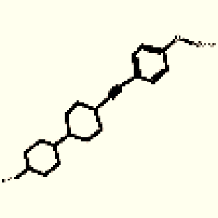 CCCCCOc1ccc(C#CC2CCC(C3CCC(CCC)CC3)CC2)cc1